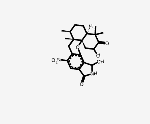 C[C@H]1CC[C@H]2C(C)(C)C(=O)C(Cl)C[C@]23Oc2c(c([N+](=O)[O-])cc4c2C(O)NC4=O)C[C@]13C